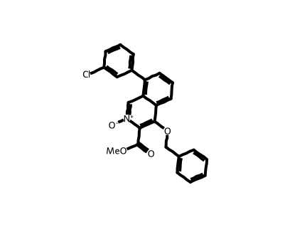 COC(=O)c1c(OCc2ccccc2)c2cccc(-c3cccc(Cl)c3)c2c[n+]1[O-]